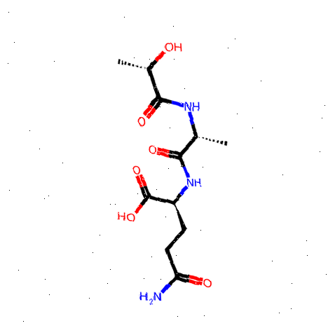 C[C@H](O)C(=O)N[C@H](C)C(=O)N[C@@H](CCC(N)=O)C(=O)O